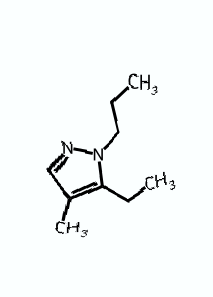 CCCn1ncc(C)c1CC